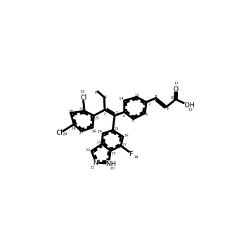 CCC(=C(c1ccc(C=CC(=O)O)cc1)c1cc(F)c2[nH]ncc2c1)c1ccc(Cl)cc1Cl